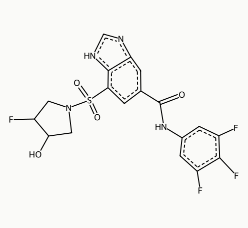 O=C(Nc1cc(F)c(F)c(F)c1)c1cc(S(=O)(=O)N2CC(O)C(F)C2)c2[nH]cnc2c1